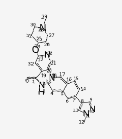 C=C(Nc1cc2cc(-c3cnn(C)c3)ccc2cn1)c1ccnc(OC2CCN(C)CC2)c1